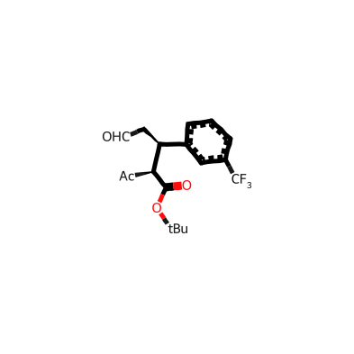 CC(=O)[C@H](C(=O)OC(C)(C)C)[C@@H](CC=O)c1cccc(C(F)(F)F)c1